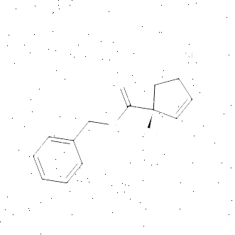 N[C@@H]1C=C[C@](O)(C(=O)OCc2ccccc2)C1